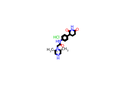 C[C@@H]1CNC[C@H](C)N1CC(=O)Nc1ccc(C2CCC(=O)NC2=O)cc1.Cl